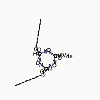 C#CC#CC#CC#CC#CC#CC#CC#COC(=O)Cc1cc2c(O)c(c1)/C=N/C1CCCCC1/N=C/c1cc(CC(=O)OC#CC#CC#CC#CC#CC#CC#CC#C)cc(c1O)/C=N/C1CCCCC1/N=C/c1cc(CC(=O)OC)cc(c1O)/C=N/C1CCCCC1/N=C/2